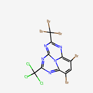 ClC(Cl)(Cl)C1=NC2=NC(C(Br)(Br)Br)=NC3=C(Br)C=C(Br)C(=N1)N23